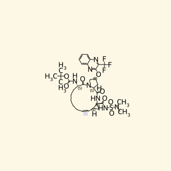 CN(C)S(=O)(=O)NC(=O)[C@@]12C[C@H]1/C=C\CCCCC[C@H](NC(=O)OC(C)(C)C)C(=O)N1C[C@H](Oc3nc4ccccc4nc3C(F)(F)F)C[C@H]1C(=O)N2